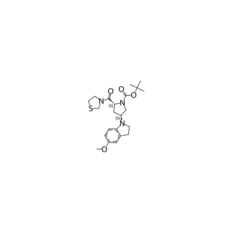 COc1ccc2c(c1)CCN2[C@H]1C[C@@H](C(=O)N2CCSC2)N(C(=O)OC(C)(C)C)C1